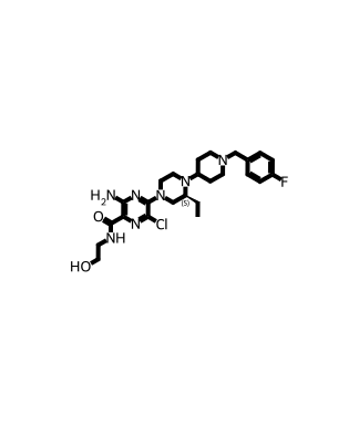 CC[C@H]1CN(c2nc(N)c(C(=O)NCCO)nc2Cl)CCN1C1CCN(Cc2ccc(F)cc2)CC1